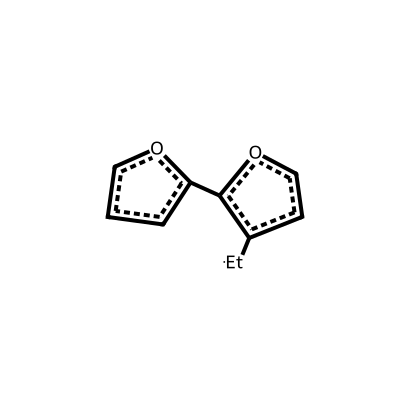 C[CH]c1ccoc1-c1ccco1